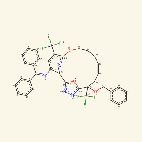 FC(F)(F)c1cc(N=C(c2ccccc2)c2ccccc2)c2nc1OCCCC=CCC(OCc1ccccc1)(C(F)(F)F)c1nnc-2o1